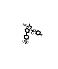 CC(=O)N1C2CCC(C3CCC(S(C)(=O)=O)CC3)CC2N(C(=O)OC2CCC(F)CC2)C[C@@H]1C